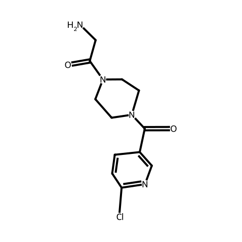 NCC(=O)N1CCN(C(=O)c2ccc(Cl)nc2)CC1